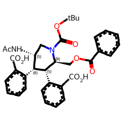 CC(=O)N[C@@H]1CN(C(=O)OC(C)(C)C)[C@@H](COC(=O)c2ccccc2)[C@H](c2ccccc2C(=O)O)[C@@H]1c1ccccc1C(=O)O